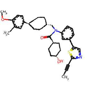 CC#Cc1ncc(-c2cccc(N(C[C@H]3CC[C@H](c4ccc(OC)c(C)c4)CC3)C(=O)[C@H]3CC[C@H](O)CC3)c2)s1